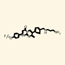 C=C1N=C2NC(c3ccc(OC(F)(F)F)cc3)=CC(=O)N2C=C1c1ccc(CNCCCN)cc1